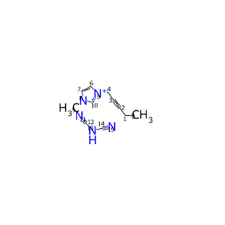 CCC#CC[n+]1ccn(C)c1.N#CNC#N